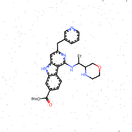 CCC(Nc1nc(Cc2cccnc2)cc2[nH]c3cc(C(=O)OC)ccc3c12)C1COCCN1